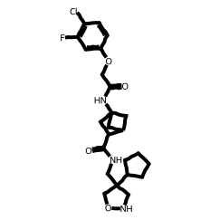 O=C(COc1ccc(Cl)c(F)c1)NC12CC(C1)C(C(=O)NCC1(C3CCCC3)CNOC1)C2